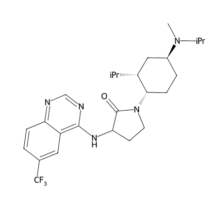 CC(C)[C@@H]1C[C@@H](N(C)C(C)C)CC[C@@H]1N1CCC(Nc2ncnc3ccc(C(F)(F)F)cc23)C1=O